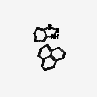 C1=Cc2cccc3cccc(c23)C1.c1ccc2c(c1)NSS2